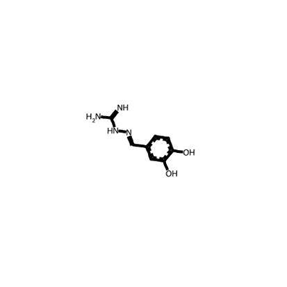 N=C(N)NN=Cc1ccc(O)c(O)c1